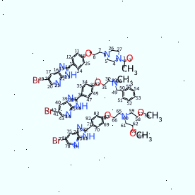 CC(=O)N1CCN(CCOc2ccc(-c3nc4cc(Br)cnc4[nH]3)cc2)CC1.CN(CCOc1ccc(-c2nc3cc(Br)cnc3[nH]2)cc1)Cc1ccccc1.COCCN(CCOC)CCOc1ccc(-c2nc3cc(Br)cnc3[nH]2)cc1